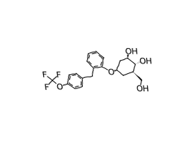 OC[C@H]1C[C@@H](Oc2ccccc2Cc2ccc(OC(F)(F)F)cc2)C[C@@H](O)[C@@H]1O